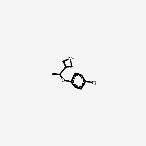 CC(Oc1ccc(Cl)cc1)C1CNC1